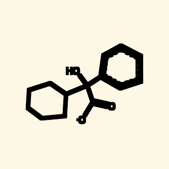 [O]C(=O)C(O)(c1ccccc1)C1CCCCC1